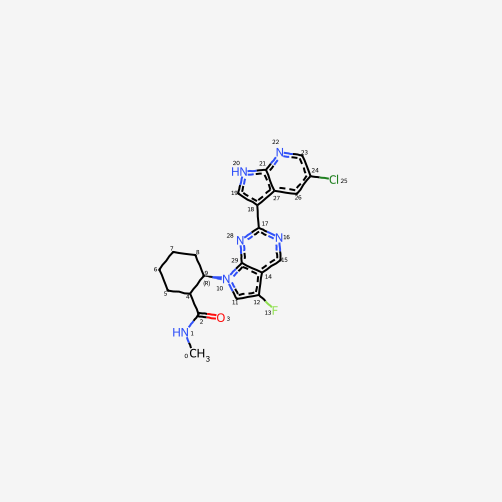 CNC(=O)C1CCCC[C@H]1n1cc(F)c2cnc(-c3c[nH]c4ncc(Cl)cc34)nc21